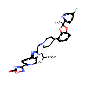 COC(C)Cn1c(CN2CCC(c3cccc4c3OC(C)(c3ccc(Cl)cn3)O4)CC2)nc2cc(-c3noc(=O)[nH]3)ncc21